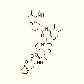 CC[C@H](C)[C@@H]([C@@H](CC(=O)N1CCCC1[C@H](OC)[C@@H](C)C(=O)NC(Cc1cccs1)C(=O)O)OC)N(C)C(=O)C(NC(=O)C(NC)C(C)C)C(C)C